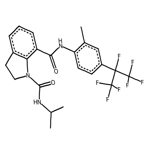 Cc1cc(C(F)(C(F)(F)F)C(F)(F)F)ccc1NC(=O)c1cccc2c1N(C(=O)NC(C)C)CC2